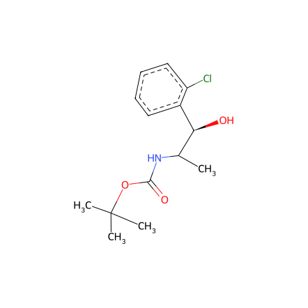 CC(NC(=O)OC(C)(C)C)[C@H](O)c1ccccc1Cl